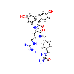 N=C(N)NCCC[C@@H](NC(=O)C(c1ccc(O)cc1)c1ccc(O)cc1)C(=O)NCc1ccc(CNC(N)=O)cc1